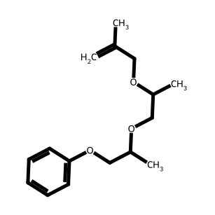 C=C(C)COC(C)COC(C)COc1ccccc1